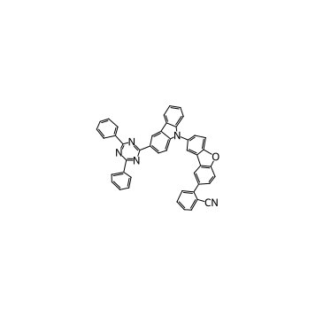 N#Cc1ccccc1-c1ccc2oc3ccc(-n4c5ccccc5c5cc(-c6nc(-c7ccccc7)nc(-c7ccccc7)n6)ccc54)cc3c2c1